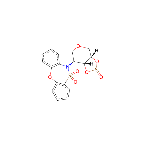 O=S1O[C@H]2[C@H](COC[C@@H]2N2c3ccccc3Oc3ccccc3S2(=O)=O)O1